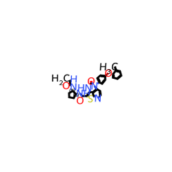 C=CC(=O)N[C@H]1CCC[C@@H]1NC(=O)c1sc2nccc3c2c1NC(=O)N3c1ccc(Oc2ccccc2C)cc1